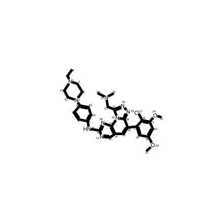 CCN1CCN(c2ccc(Nc3ncc4cc(-c5cc(OC)cc(OC)c5Cl)c5nnc(CN(C)C)n5c4n3)cc2)CC1